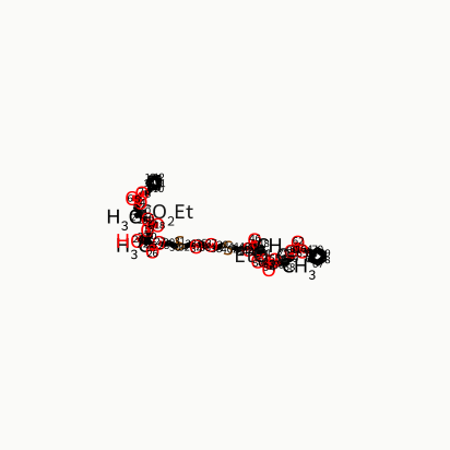 CCOC(=O)C(C)(COC(=O)OCc1ccccc1)COC(=O)OCC(C)(CO)C(=O)OCCCSCCOCCOCCSCCCOC(=O)C(C)(CO)COC(=O)OCC(C)(COC(=O)OCc1ccccc1)C(=O)OCC